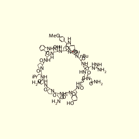 CCCC[C@H]1C(=O)N(C)[C@@H](CCCC)C(=O)NC(CCCNC(=N)N)C(=O)N[C@H](C(=O)NCC(N)=O)CSCC(=O)N[C@@H](Cc2ccc(O)cc2)C(=O)N(C)[C@@H](C)C(=O)N[C@@H](CC(N)=O)C(=O)N2CCCC2C(=O)N[C@@H](CN)C(=O)N[C@@H](CC(C)C)C(=O)N2CCCC2C(=O)N[C@@H](Cc2c[nH]c3ccccc23)C(=O)N[C@@H](CO)C(=O)N[C@@H](Cc2c(-c3ccc(OC)cc3)[nH]c3ccccc23)C(=O)N1C